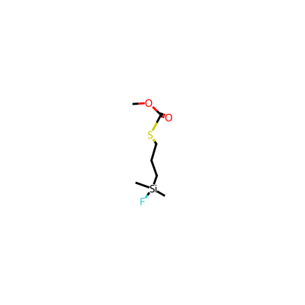 COC(=O)SCCC[Si](C)(C)F